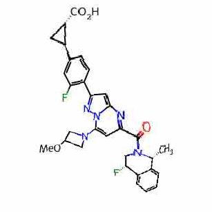 COC1CN(c2cc(C(=O)N3C[C@@H](F)c4ccccc4[C@H]3C)nc3cc(-c4ccc([C@H]5C[C@@H]5C(=O)O)cc4F)nn23)C1